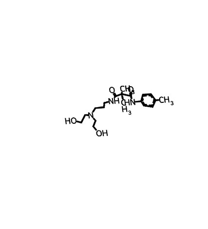 Cc1ccc(NC(=O)C(C)(C)C(=O)NCCCN(CCO)CCO)cc1